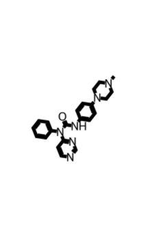 CN1CCN(c2ccc(NC(=O)N(c3ccccc3)c3ccncn3)cc2)CC1